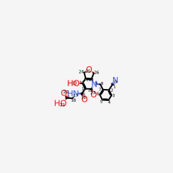 N#Cc1ccccc1Cn1c2c(c(O)c(C(=O)NCC(=O)O)c1=O)COC2